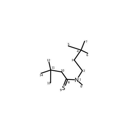 CN(CCC(C)(C)C)C(=S)CC(C)(C)C